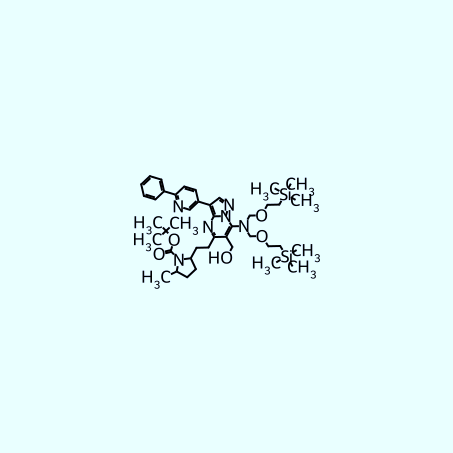 CC1CCC(CCc2nc3c(-c4ccc(-c5ccccc5)nc4)cnn3c(N(COCC[Si](C)(C)C)COCC[Si](C)(C)C)c2CO)N1C(=O)OC(C)(C)C